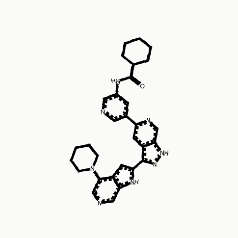 O=C(Nc1cncc(-c2cc3c(-c4cc5c(N6CCCCC6)cncc5[nH]4)n[nH]c3cn2)c1)C1CCCCC1